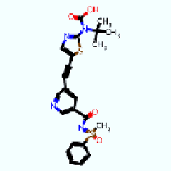 CC(C)(C)N(C(=O)O)c1ncc(C#Cc2cncc(C(=O)N=S(C)(=O)c3ccccc3)c2)s1